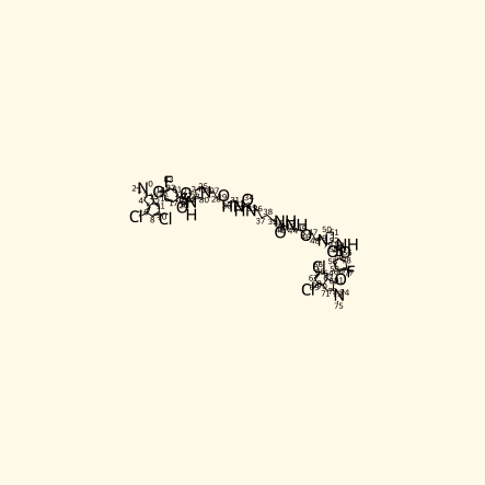 CN(C)[C@H]1Cc2c(Cl)cc(Cl)cc2[C@@H]1Oc1ccc(S(=O)(=O)N[C@H]2CCN(CCOCCNC(=O)NCCCCNC(=O)NCCOCCN3CC[C@H](NS(=O)(=O)c4ccc(O[C@H]5c6cc(Cl)cc(Cl)c6C[C@@H]5N(C)C)c(F)c4)C3)C2)cc1F